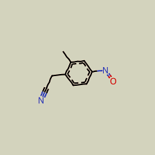 Cc1cc(N=O)ccc1CC#N